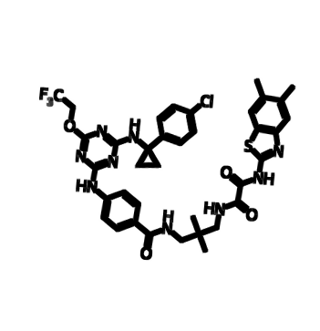 Cc1cc2nc(NC(=O)C(=O)NCC(C)(C)CNC(=O)c3ccc(Nc4nc(NC5(c6ccc(Cl)cc6)CC5)nc(OCC(F)(F)F)n4)cc3)sc2cc1C